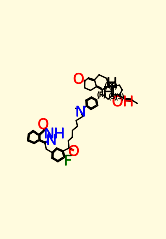 CC#C[C@]1(O)CC[C@H]2[C@@H]3CCC4=CC(=O)CCC4=C3[C@@H](c3ccc(N(C)CCCCCCC(=O)c4cc(Cc5n[nH]c(=O)c6ccccc56)ccc4F)cc3)C[C@@]21C